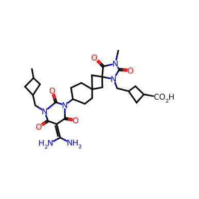 CC1CC(CN2C(=O)C(=C(N)N)C(=O)N(C3CCC4(CC3)CC3(C4)C(=O)N(C)C(=O)N3CC3CC(C(=O)O)C3)C2=O)C1